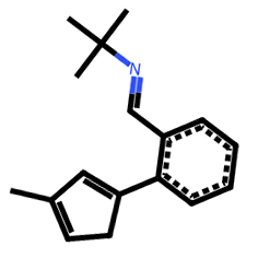 CC1=CCC(c2ccccc2C=NC(C)(C)C)=C1